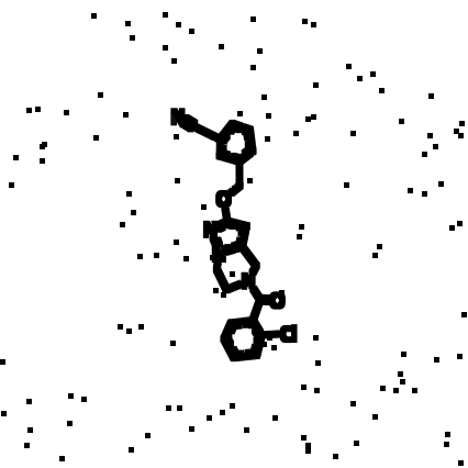 N#Cc1cccc(COc2cc3n(n2)CCN(C(=O)c2ccccc2Cl)C3)c1